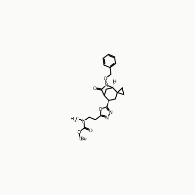 CN(CCc1nnc([C@@H]2CC3(CC3)[C@H]3CC2C(=O)N3OCc2ccccc2)o1)C(=O)OC(C)(C)C